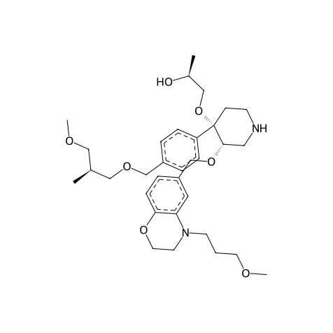 COCCCN1CCOc2ccc(CO[C@H]3CNCC[C@]3(OC[C@H](C)O)c3ccc(COC[C@@H](C)COC)cc3)cc21